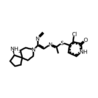 C=N/C(=C\N=C(/C)Sc1cc[nH]c(=O)c1Cl)N1CCC2(CCC[C@H]2N)CC1